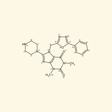 Cn1c(=O)c2c(nc(N3CCNCC3)n2Cc2nnc(-c3ccccc3)o2)n(C)c1=O